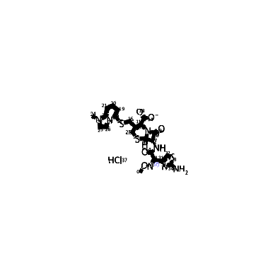 CO/N=C(\C(=O)N[C@@H]1C(=O)N2C(C(=O)[O-])=C(CSc3cccc4n(C)cc[n+]34)CS[C@@H]12)c1csc(N)n1.Cl